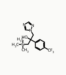 C[Si](C)(C)CC(O)(Cn1cncn1)c1ccc(C(F)(F)F)cc1